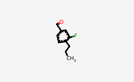 CCCc1ccc(C=O)cc1F